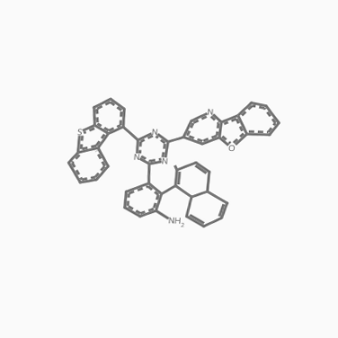 CC1=C(c2c(N)cccc2-c2nc(-c3cnc4c(c3)oc3ccccc34)nc(-c3cccc4sc5ccccc5c34)n2)C2C=CC=CC2C=C1